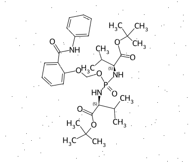 CC(C)[C@H](NP(=O)(N[C@H](C(=O)OC(C)(C)C)C(C)C)OCOc1ccccc1C(=O)Nc1ccccc1)C(=O)OC(C)(C)C